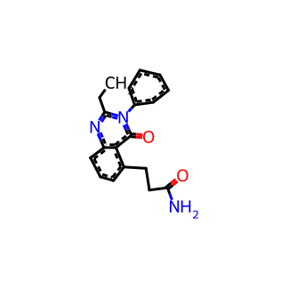 CCc1nc2cccc(CCC(N)=O)c2c(=O)n1-c1ccccc1